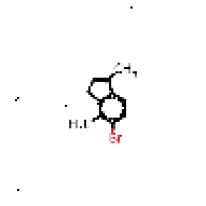 CC1=CCc2c1ccc(Br)c2C